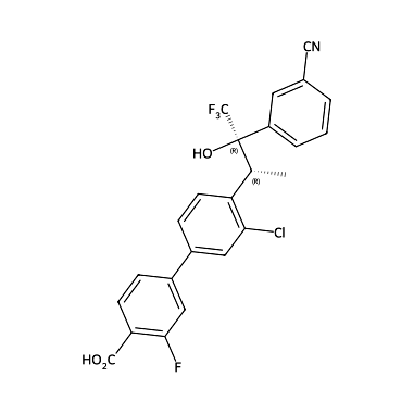 C[C@H](c1ccc(-c2ccc(C(=O)O)c(F)c2)cc1Cl)[C@@](O)(c1cccc(C#N)c1)C(F)(F)F